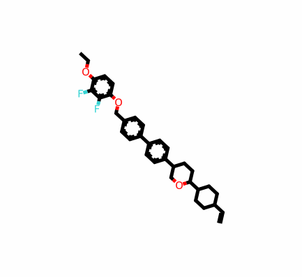 C=CC1CCC(C2CCC(c3ccc(-c4ccc(COc5ccc(OCC)c(F)c5F)cc4)cc3)CO2)CC1